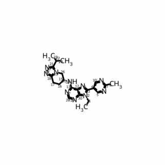 CCn1c(-c2cnc(C)nc2)nc2c(N[C@@H]3CCc4nnc(C(C)C)n4C3)ncnc21